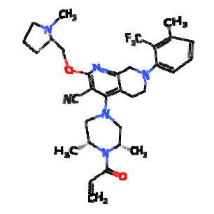 C=CC(=O)N1[C@H](C)CN(c2c(C#N)c(OCC3CCCN3C)nc3c2CCN(c2cccc(C)c2C(F)(F)F)C3)C[C@@H]1C